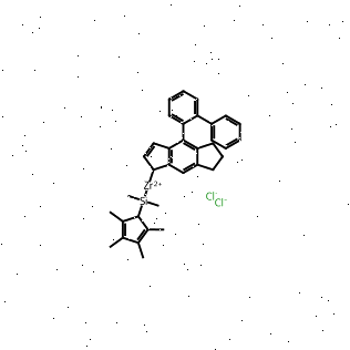 CC1=C(C)C([Si](C)(C)[Zr+2][CH]2C=Cc3c2cc2c(c3-c3ccccc3-c3ccccc3)CCC2)C(C)=C1C.[Cl-].[Cl-]